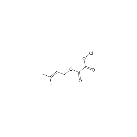 CC(C)=CCOC(=O)C(=O)OCl